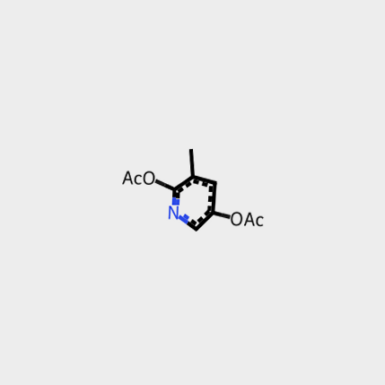 CC(=O)Oc1cnc(OC(C)=O)c(C)c1